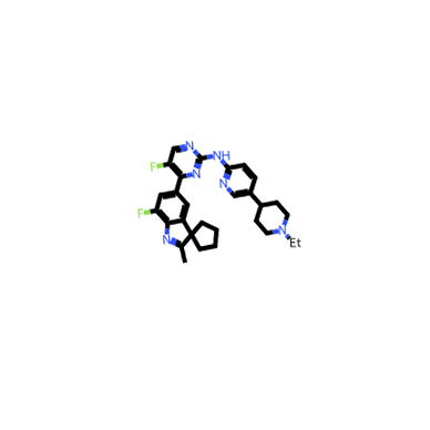 CCN1CCC(c2ccc(Nc3ncc(F)c(-c4cc(F)c5c(c4)C4(CCCC4)C(C)=N5)n3)nc2)CC1